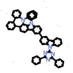 c1ccc(-c2nc(-c3ccccc3)nc(-n3c4ccccc4c4cc(-c5ccc6c(c5)c5ccc7c(c5n6-c5ccccc5)N(c5ccccc5)c5ccccc5-c5ccccc5-7)ccc43)n2)cc1